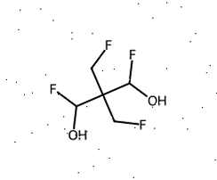 OC(F)C(CF)(CF)C(O)F